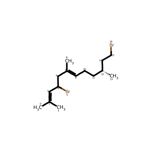 CC(C)=CC(Br)CC(C)=CCC[C@@H](C)CCBr